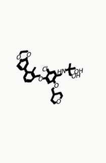 Cc1c(COc2cc(OCC3CCOCC3)c(CNC(C)(CO)CO)cc2Cl)cccc1-c1ccc2c(c1)OCCO2